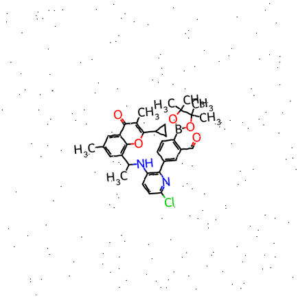 Cc1cc(C(C)Nc2ccc(Cl)nc2-c2ccc(B3OC(C)(C)C(C)(C)O3)c(C=O)c2)c2oc(C3CC3)c(C)c(=O)c2c1